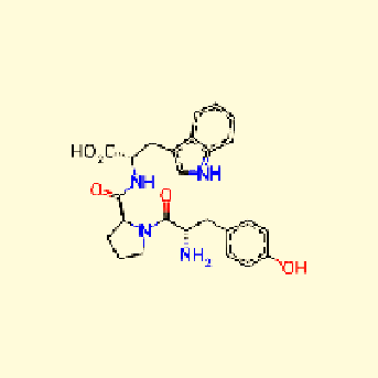 N[C@@H](Cc1ccc(O)cc1)C(=O)N1CCC[C@H]1C(=O)N[C@@H](Cc1c[nH]c2ccccc12)C(=O)O